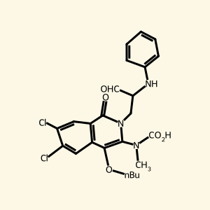 CCCCOc1c(N(C)C(=O)O)n(CC(C=O)Nc2ccccc2)c(=O)c2cc(Cl)c(Cl)cc12